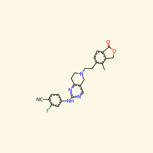 Cc1c(CCN2CCc3nc(Nc4ccc(C#N)c(F)c4)ncc3C2)ccc2c1COC2=O